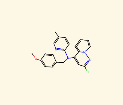 COc1ccc(CN(C2=CC(Cl)=NN3C=CC=C=C23)c2ccc(C)cn2)cc1